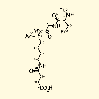 CCN[C@@H](CC(C)C)C(=O)NCC(=O)N[C@@H](CCCCNC(=O)CCC(=O)O)C(C)=O